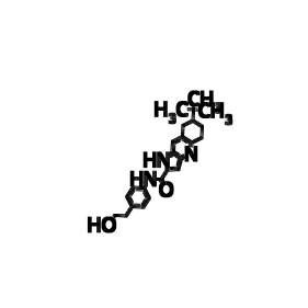 CC(C)(C)C1CCc2nc3cc(C(=O)Nc4ccc(CCO)cc4)[nH]c3cc2C1